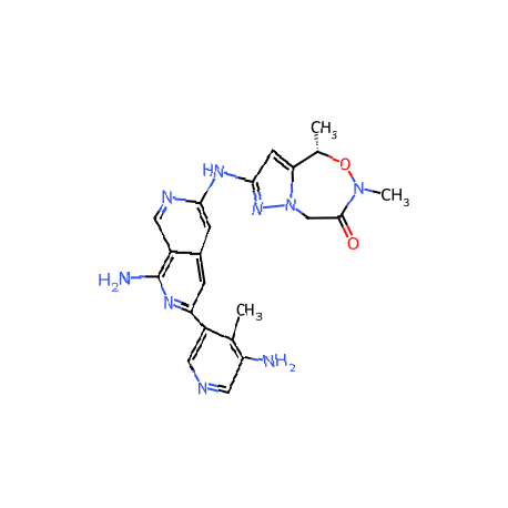 Cc1c(N)cncc1-c1cc2cc(Nc3cc4n(n3)CC(=O)N(C)O[C@H]4C)ncc2c(N)n1